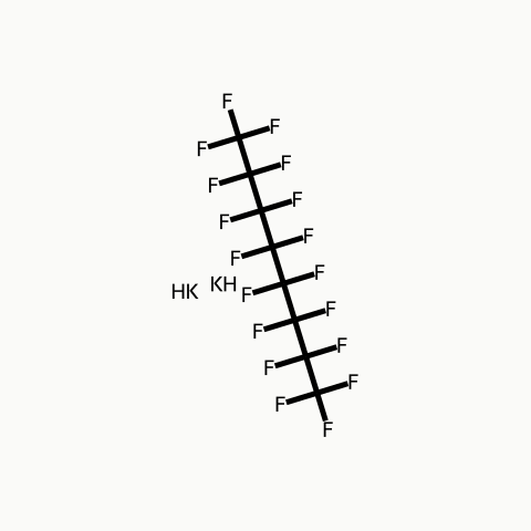 FC(F)(F)C(F)(F)C(F)(F)C(F)(F)C(F)(F)C(F)(F)C(F)(F)C(F)(F)F.[KH].[KH]